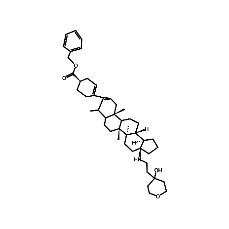 CC1C(C2=CC[C@H](C(=O)OCc3ccccc3)CC2)=CC[C@@]2(C)C1CC[C@]1(C)C2CC[C@@H]2[C@H]3CCC[C@]3(NCCC3(O)CCOCC3)CC[C@]21C